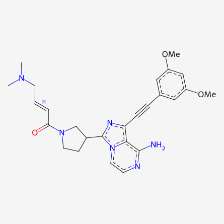 COc1cc(C#Cc2nc(C3CCN(C(=O)/C=C/CN(C)C)C3)n3ccnc(N)c23)cc(OC)c1